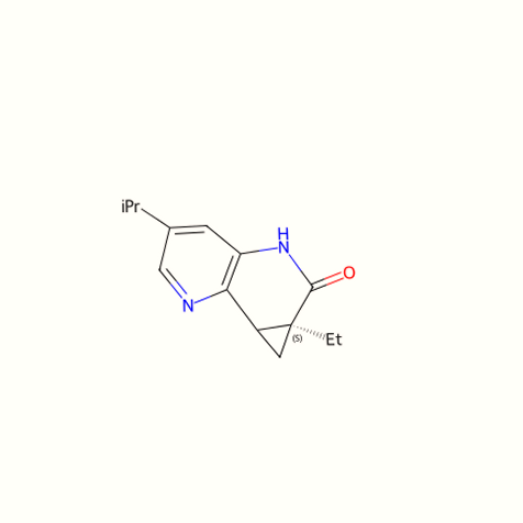 CC[C@]12CC1c1ncc(C(C)C)cc1NC2=O